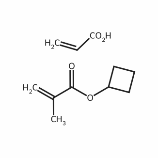 C=C(C)C(=O)OC1CCC1.C=CC(=O)O